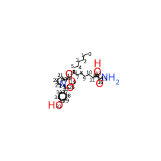 CCCCCC[C@H](CCCCC[C@@H](O)C(N)=O)OC(=O)[C@@H]1CC=CN1C(=O)c1ccc(O)cc1